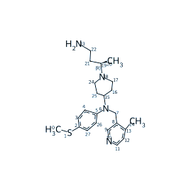 CSc1ccc(N(Cc2cnccc2C)C2CCN([C@H](C)CCN)CC2)cc1